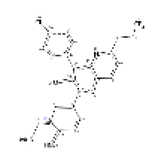 CN/C=C1/C=C(n2cc3ccc(CCC(F)(F)F)nc3c(-c3ccc(Cl)cc3)c2=O)C=CC1=N